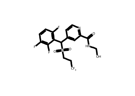 O=C(NCO)c1cc(C(c2c(F)ccc(F)c2F)S(=O)(=O)CCC(F)(F)F)ccn1